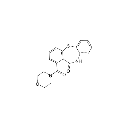 O=C1Nc2ccccc2Sc2cccc(C(=O)N3CCOCC3)c21